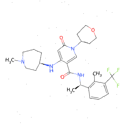 Cc1c([C@@H](C)NC(=O)c2cn(C3CCOCC3)c(=O)cc2N[C@@H]2CCCN(C)CC2)cccc1C(F)(F)F